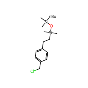 CCCC[Si](C)(C)O[Si](C)(C)CCc1ccc(CCl)cc1